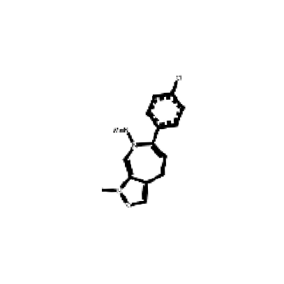 CNN1C=C2C(=CON2C)CC=C1c1ccc(Cl)cc1